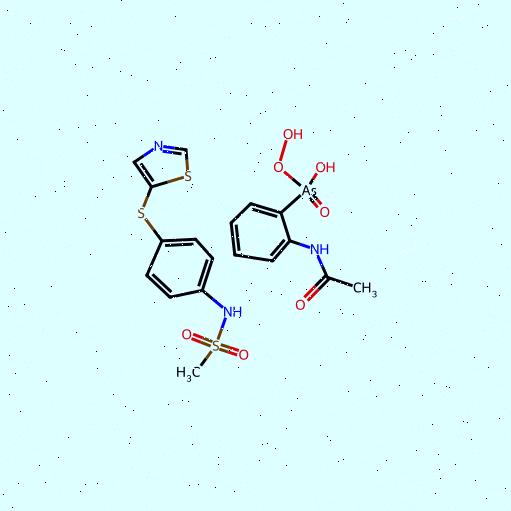 CC(=O)Nc1ccccc1[As](=O)(O)OO.CS(=O)(=O)Nc1ccc(Sc2cncs2)cc1